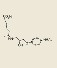 CC(=O)Nc1ccc(OCC(O)CNC(C)CCCCC(=O)O)cc1